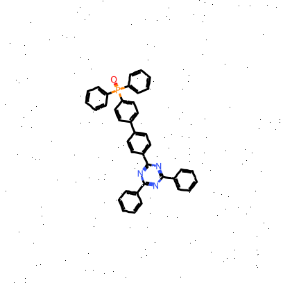 O=P(c1ccccc1)(c1ccccc1)c1ccc(-c2ccc(-c3nc(-c4ccccc4)nc(-c4ccccc4)n3)cc2)cc1